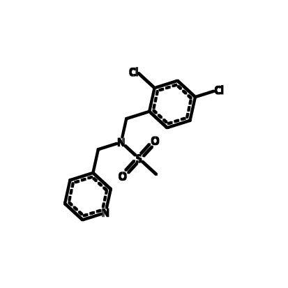 CS(=O)(=O)N(Cc1cccnc1)Cc1ccc(Cl)cc1Cl